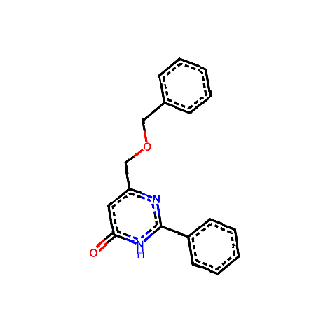 O=c1cc(COCc2ccccc2)nc(-c2ccccc2)[nH]1